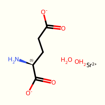 N[C@@H](CCC(=O)[O-])C(=O)[O-].O.O.[Sr+2]